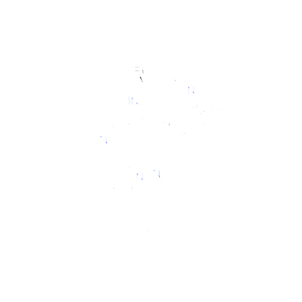 CC[C@H](NC(=O)c1cncc2c1cnn2-c1ccc(F)cc1)c1cnc(S(C)(=O)=O)s1